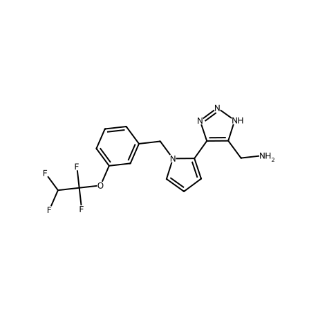 NCc1[nH]nnc1-c1cccn1Cc1cccc(OC(F)(F)C(F)F)c1